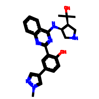 Cn1cc(-c2ccc(O)c(-c3nc(N[C@@H]4CNC[C@@H]4C(C)(C)O)c4ccccc4n3)c2)cn1